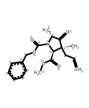 C=CC[C@]1(C)C(=O)[C@@H](C)N(C(=O)OCc2ccccc2)[C@@H]1C(=O)OC